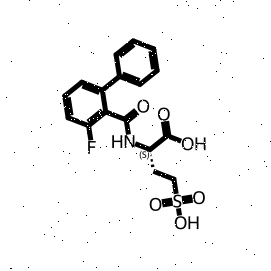 O=C(N[C@@H](CCS(=O)(=O)O)C(=O)O)c1c(F)cccc1-c1ccccc1